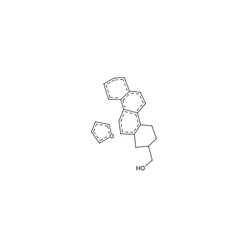 OCC1CCc2c(ccc3c2ccc2ccccc23)C1.c1ccoc1